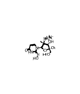 C[C@]1(N=[N+]=[N-])[C@H](n2ccc(=O)[nH]/c2=N\O)O[C@](C#N)(CO)[C@H]1O